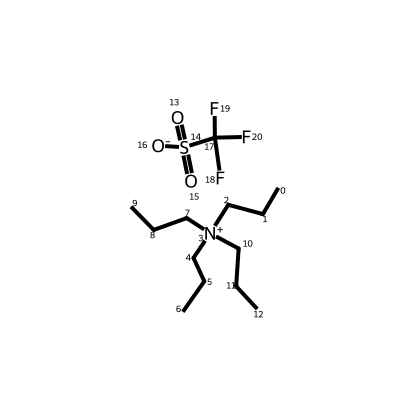 CCC[N+](CCC)(CCC)CCC.O=S(=O)([O-])C(F)(F)F